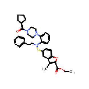 CCOC(=O)c1oc2ccc(SN(CCc3ccccc3)c3ccccc3N3CCN(C(=O)C4CCCC4)CC3)cc2c1C